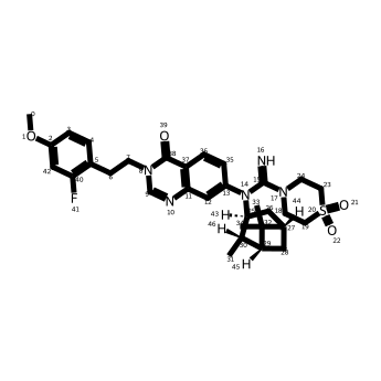 COc1ccc(CCn2cnc3cc(N(C(=N)N4CCS(=O)(=O)CC4)[C@H]4C[C@@H]5C[C@H]([C@@H]4C)C5(C)C)ccc3c2=O)c(F)c1